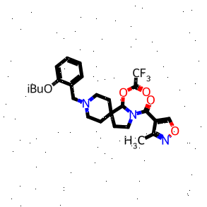 Cc1nocc1C(=O)N1CCC2(CCN(Cc3ccccc3OCC(C)C)CC2)C1OC(=O)C(F)(F)F